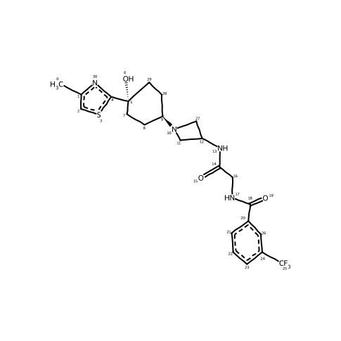 Cc1csc([C@]2(O)CC[C@H](N3CC(NC(=O)CNC(=O)c4cccc(C(F)(F)F)c4)C3)CC2)n1